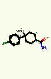 COC1(c2ccc(F)cc2)CCC(C(N)=O)CC1